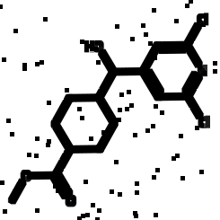 COC(=O)C1CCC(C(O)c2cc(Cl)nc(Cl)c2)CC1